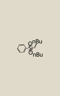 C=C[Si](OCCCC)(OCCCC)c1ccccc1